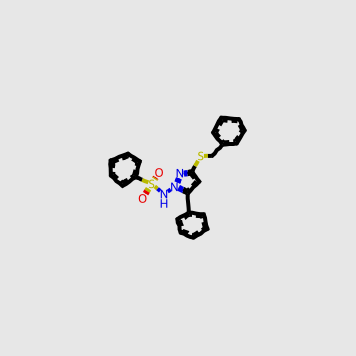 O=S(=O)(Nn1nc(SCc2ccccc2)cc1-c1ccccc1)c1ccccc1